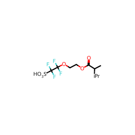 CC(C)C(C)C(=O)OCCOC(F)(F)C(F)(F)S(=O)(=O)O